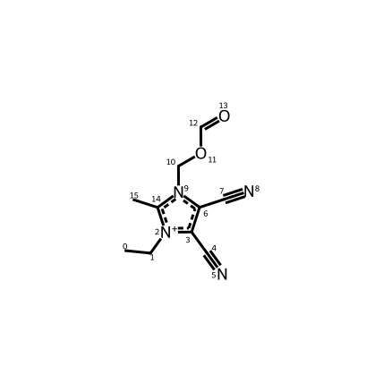 CC[n+]1c(C#N)c(C#N)n(COC=O)c1C